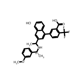 COc1cccc([C@@H](C)NC(C)c2cc(-c3ccc(C(F)(F)F)c(C(=O)O)c3)c3ccccc3c2)c1.Cl